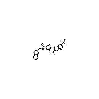 Cc1cc(C(=O)NCc2cnc3ccccc3c2)cnc1N1CCc2ncc(C(F)(F)F)cc2C1